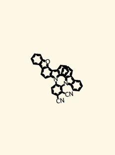 N#Cc1ccc(-n2c3ccccc3c3c4oc5ccccc5c4ccc32)c(-n2c3ccccc3c3ccccc32)c1C#N